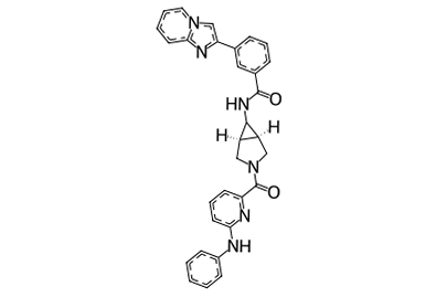 O=C(NC1[C@H]2CN(C(=O)c3cccc(Nc4ccccc4)n3)C[C@@H]12)c1cccc(-c2cn3ccccc3n2)c1